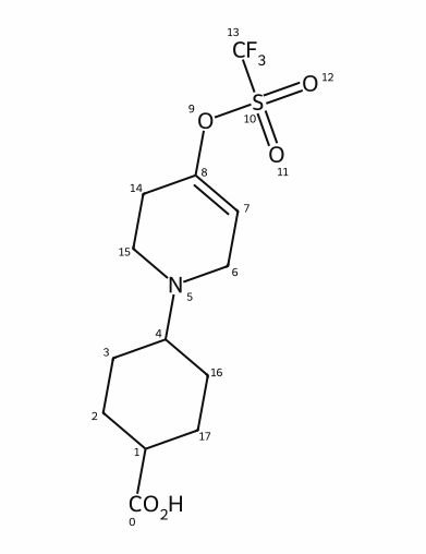 O=C(O)C1CCC(N2CC=C(OS(=O)(=O)C(F)(F)F)CC2)CC1